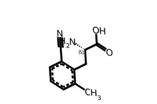 Cc1cccc(C#N)c1C[C@H](N)C(=O)O